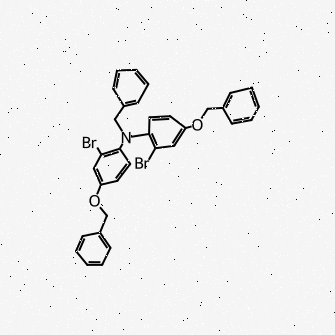 Brc1cc(OCc2ccccc2)ccc1N(Cc1ccccc1)c1ccc(OCc2ccccc2)cc1Br